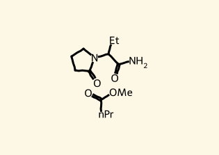 CCC(C(N)=O)N1CCCC1=O.CCCC(=O)OC